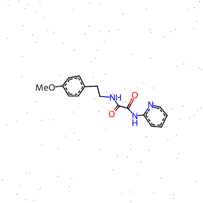 COc1ccc(CCNC(=O)C(=O)Nc2ccccn2)cc1